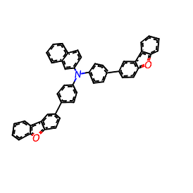 c1ccc2cc(N(c3ccc(-c4ccc5oc6ccccc6c5c4)cc3)c3ccc(-c4ccc5oc6ccccc6c5c4)cc3)ccc2c1